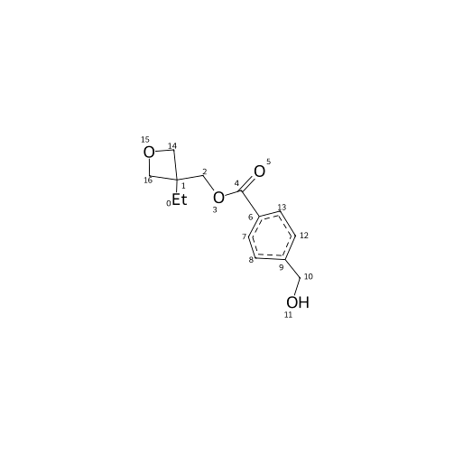 CCC1(COC(=O)c2ccc(CO)cc2)COC1